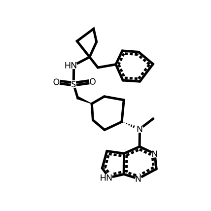 CN(c1ncnc2[nH]ccc12)[C@H]1CC[C@H](CS(=O)(=O)NC2(Cc3ccccc3)CCC2)CC1